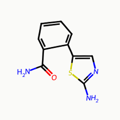 NC(=O)c1ccccc1-c1cnc(N)s1